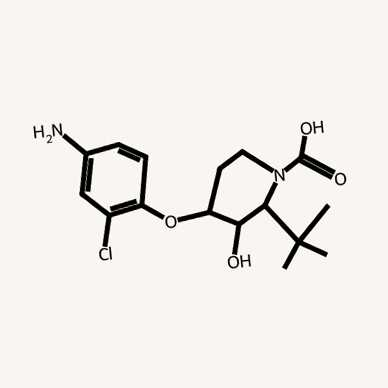 CC(C)(C)C1C(O)C(Oc2ccc(N)cc2Cl)CCN1C(=O)O